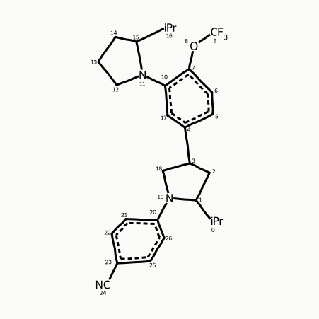 CC(C)C1CC(c2ccc(OC(F)(F)F)c(N3CCCC3C(C)C)c2)CN1c1ccc(C#N)cc1